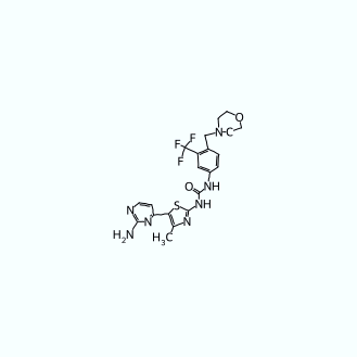 Cc1nc(NC(=O)Nc2ccc(CN3CCOCC3)c(C(F)(F)F)c2)sc1-c1ccnc(N)n1